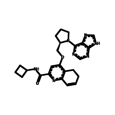 O=C(NC1CCC1)c1cc(OC[C@H]2CCCN2c2ncnc3[nH]cnc23)c2c(n1)C=CCC2